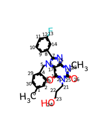 Cc1ccc(Cn2c(-c3cccc(F)c3)nc3c2c(=O)n(CCCO)c(=O)n3C)cc1